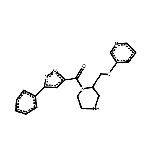 O=C(c1cc(-c2ccccc2)no1)N1CCNCC1COc1cccnc1